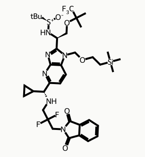 CC(C)(C)[S@@+]([O-])N[C@@H](COC(C)(C)C(F)(F)F)c1nc2nc([C@H](NCC(F)(F)CN3C(=O)c4ccccc4C3=O)C3CC3)ccc2n1COCC[Si](C)(C)C